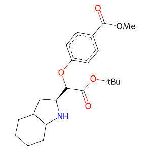 COC(=O)c1ccc(OC(C(=O)OC(C)(C)C)[C@@H]2CC3CCCCC3N2)cc1